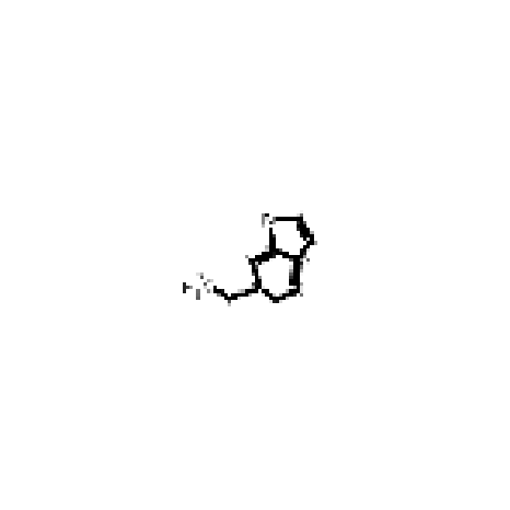 CCC1C=c2[nH]ccc2=CC1